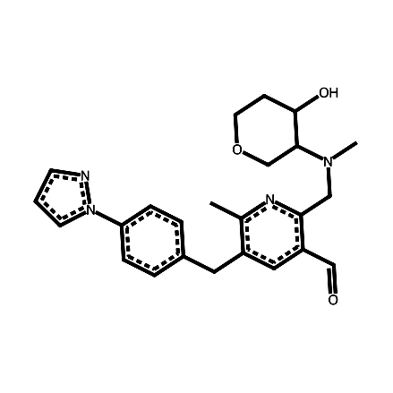 Cc1nc(CN(C)C2COCCC2O)c(C=O)cc1Cc1ccc(-n2cccn2)cc1